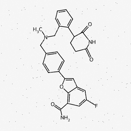 CN(Cc1ccc(-c2cc3cc(F)cc(C(N)=O)c3o2)cc1)Cc1ccccc1C1CCC(=O)NC1=O